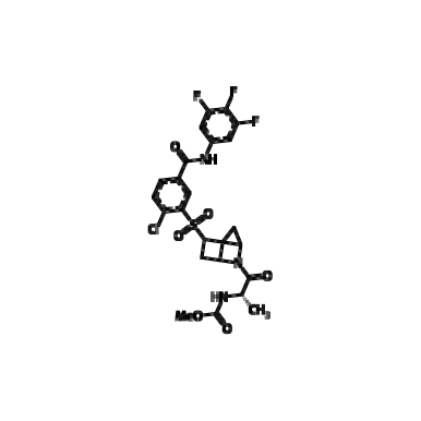 COC(=O)N[C@@H](C)C(=O)N1C2CC(S(=O)(=O)c3cc(C(=O)Nc4cc(F)c(F)c(F)c4)ccc3Cl)C23CC13